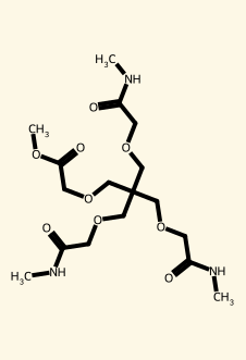 CNC(=O)COCC(COCC(=O)NC)(COCC(=O)NC)COCC(=O)OC